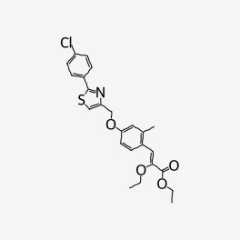 CCOC(=O)C(=Cc1ccc(OCc2csc(-c3ccc(Cl)cc3)n2)cc1C)OCC